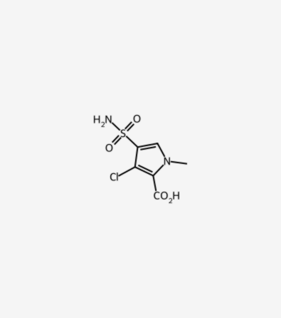 Cn1cc(S(N)(=O)=O)c(Cl)c1C(=O)O